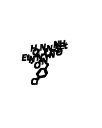 CCN(C)C(=O)n1c(=O)n(Cc2ccc(Cl)cc2)c2nc([S@@](=N)(=O)CC)nc(N)c21